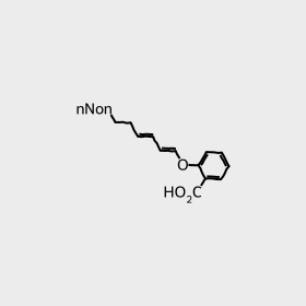 CCCCCCCCCCCC=CC=COc1ccccc1C(=O)O